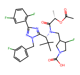 CC(=O)O[C@@H](C)C(=O)N(CC1CN(C(=O)O)CC1F)[C@@H](c1nc(-c2cc(F)ccc2F)nn1Cc1cccc(F)c1)C(C)(C)C